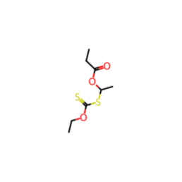 CCOC(=S)SC(C)OC(=O)CC